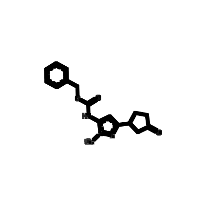 CC(C)(C)n1nc(C2CCC(=O)C2)cc1NC(=O)OCc1ccccc1